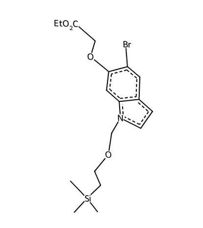 CCOC(=O)COc1cc2c(ccn2COCC[Si](C)(C)C)cc1Br